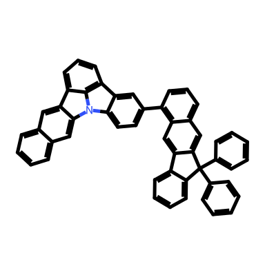 c1ccc(C2(c3ccccc3)c3ccccc3-c3cc4c(-c5ccc6c(c5)c5cccc7c8cc9ccccc9cc8n6c57)cccc4cc32)cc1